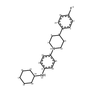 Fc1ccc(C2CCN(c3ccc(NC4CCCCC4)cc3)CC2)cc1